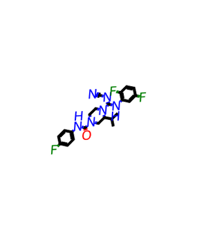 CC(C)C1CN(C(=O)Nc2ccc(F)cc2)CCN1/C(=N\C#N)Nc1cc(F)ccc1F